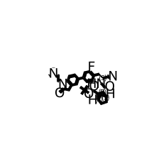 CN(C)CCN1C(=O)Cc2cc(-c3ccc(C[C@@H](C#N)NC(=O)[C@H]4C(C(=O)OC(C)(C)C)[C@@H]5CC[C@H]4C5)c(F)c3)ccc21